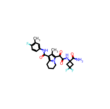 Cc1cc(NC(=O)c2c(C)c(C(=O)C(=O)NC3(C(N)=O)CC(F)(F)C3)n3c2CCCC3)ccc1F